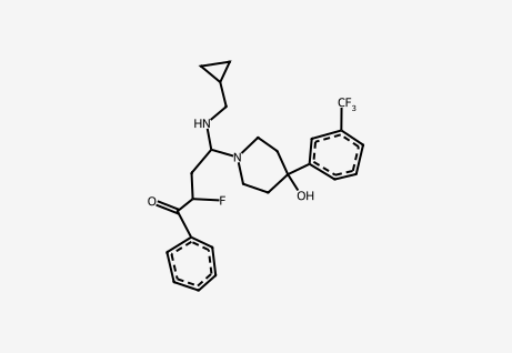 O=C(c1ccccc1)C(F)CC(NCC1CC1)N1CCC(O)(c2cccc(C(F)(F)F)c2)CC1